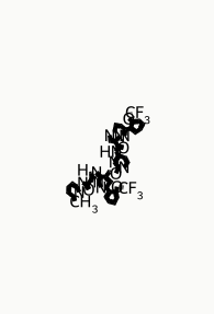 Cc1cccc(NC(=O)c2cnc3c(COc4nccc(NC(=O)c5cnc6ccc(-c7ccccc7OC(F)(F)F)nn56)n4)cc(-c4ccccc4OC(F)(F)F)nn23)n1